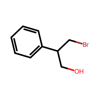 OCC(CBr)c1ccccc1